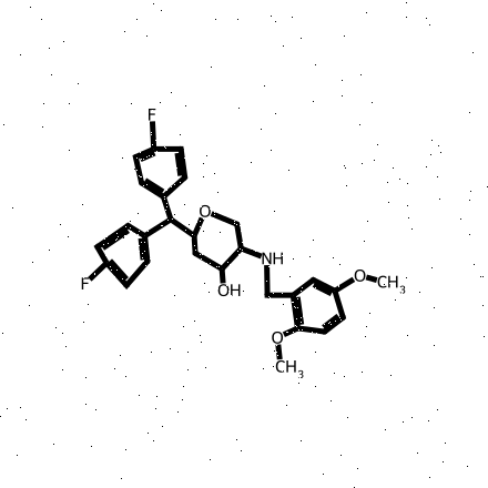 COc1ccc(OC)c(CNC2COC(C(c3ccc(F)cc3)c3ccc(F)cc3)CC2O)c1